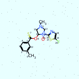 Cc1cccc(C(=S)OC2CN(C)C[N+]2([O-])c2ncc(F)s2)c1